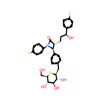 O=C1[C@H](CC[C@H](O)c2ccc(F)cc2)[C@@H](c2ccc(C[C@@H]3S[C@H](CO)[C@@H](O)[C@H](O)[C@H]3O)cc2)N1c1ccc(F)cc1